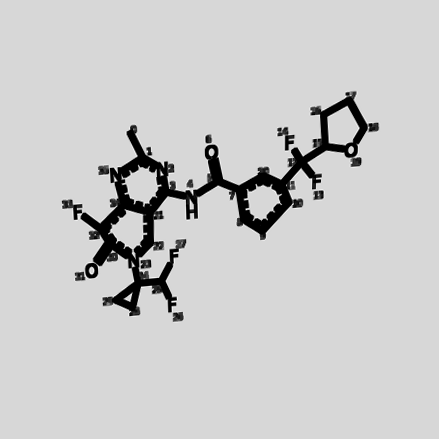 Cc1nc(NC(=O)c2cccc(C(F)(F)C3CCCO3)c2)c2cn(C3(C(F)F)CC3)c(=O)c(F)c2n1